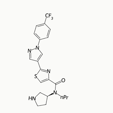 CCCN(C(=O)c1csc(-c2cnn(-c3ccc(C(F)(F)F)cc3)c2)n1)[C@H]1CCNC1